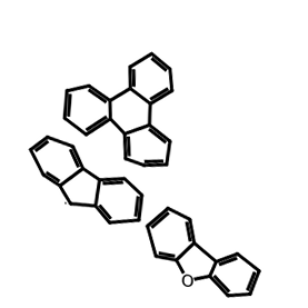 [CH]1c2ccccc2-c2ccccc21.c1ccc2c(c1)c1ccccc1c1ccccc21.c1ccc2c(c1)oc1ccccc12